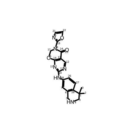 CC1(C)CNCc2cc(Nc3ncc4c(n3)OCN(c3ncco3)C4=O)ccc21